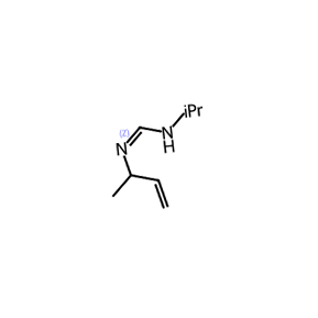 C=CC(C)/N=C\NC(C)C